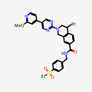 CCS(=O)(=O)c1ccc(CNC(=O)c2ccc3c(c2)CN(c2ncc(-c4ccnc(OC)c4)cn2)CC3C(C)C)cc1